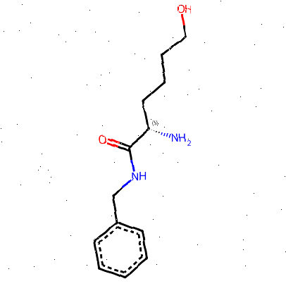 N[C@@H](CCCCO)C(=O)NCc1ccccc1